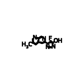 Cc1cnc2cnc(-c3ncnc(O)c3F)cc2c1